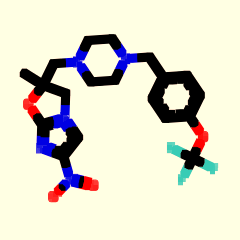 CC1(CN2CCN(Cc3ccc(OC(F)(F)F)cc3)CC2)Cn2cc([N+](=O)[O-])nc2O1